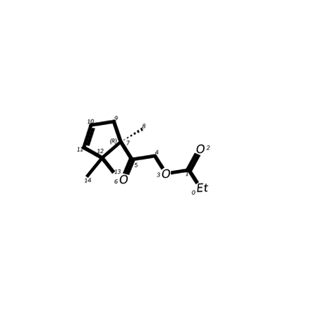 CCC(=O)OCC(=O)[C@]1(C)CC=CC1(C)C